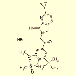 Br.COc1cc(C(=O)CN2Cc3ccc(C4CC4)nc3C2=N)cc(C(C)(C)C)c1OS(C)(=O)=O